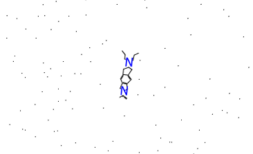 C=C(C)N1Cc2cc3c(cc2C1)CC(N(CCC)CCC)C3